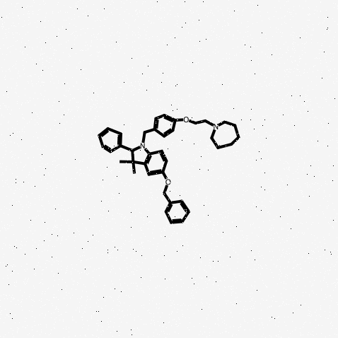 CC1(C)c2cc(OCc3ccccc3)ccc2N(Cc2ccc(OCCN3CCCCCC3)cc2)C1c1ccccc1